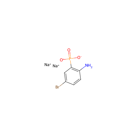 Nc1ccc(Br)cc1P(=O)([O-])[O-].[Na+].[Na+]